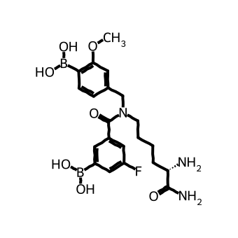 COc1cc(CN(CCCC[C@H](N)C(N)=O)C(=O)c2cc(F)cc(B(O)O)c2)ccc1B(O)O